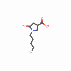 CCCCCN1CC(C(=O)O)CC1=O